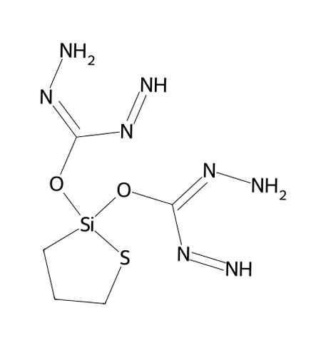 N=NC(=NN)O[Si]1(OC(N=N)=NN)CCCS1